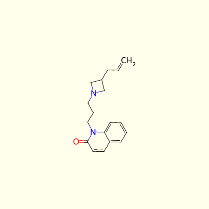 C=CCC1CN(CCCn2c(=O)ccc3ccccc32)C1